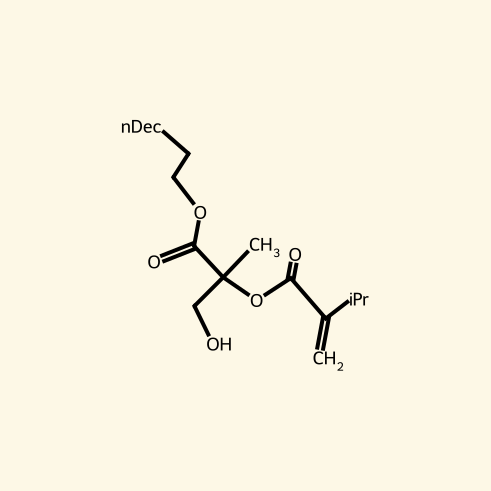 C=C(C(=O)OC(C)(CO)C(=O)OCCCCCCCCCCCC)C(C)C